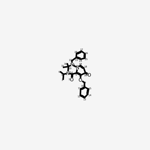 CC(C)N1C(=O)c2c(OCc3ccccc3)c(=O)ccn2N(Cc2ccccc2)C1(C)C